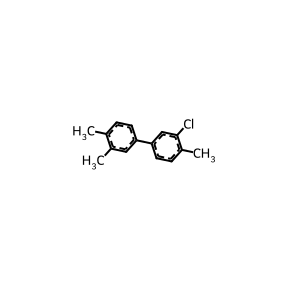 Cc1ccc(-c2ccc(C)c(Cl)c2)cc1C